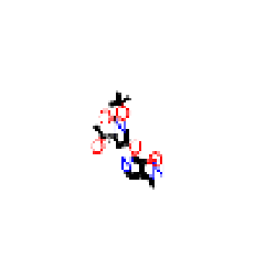 CC(=O)[C@@H]1C[C@@H](Oc2nccc3c(C)noc23)CN1C(=O)OC(C)(C)C